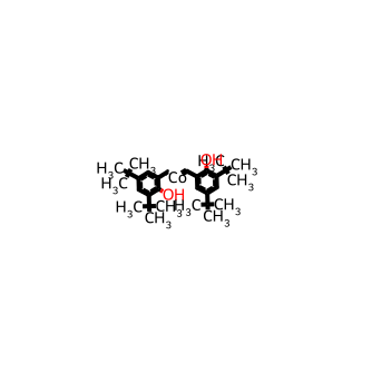 CC(C)(C)c1cc([CH]=[Co]=[CH]c2cc(C(C)(C)C)cc(C(C)(C)C)c2O)c(O)c(C(C)(C)C)c1